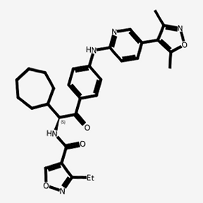 CCc1nocc1C(=O)N[C@H](C(=O)c1ccc(Nc2ccc(-c3c(C)noc3C)cn2)cc1)C1CCCCCC1